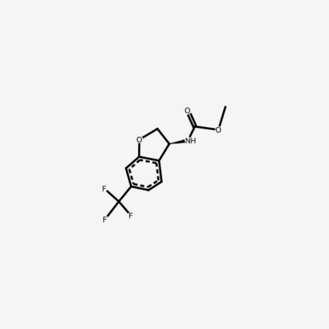 COC(=O)N[C@@H]1COc2cc(C(F)(F)F)ccc21